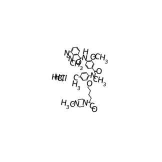 COc1cc(C(=O)N(C)c2ccc(C)cc2OCCCCC(=C=O)N2CCN(C)CC2)ccc1NC(=O)c1cccc2ncn(C)c12.Cl.Cl